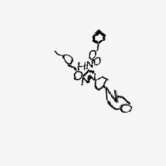 CCOCCOc1nn(C2CCC(N3CCOCC3)CC2)cc1NC(=O)OCc1ccccc1